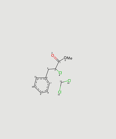 COC(=O)C(Cl)Cc1ccccc1.ClCCl